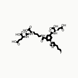 O=C(O)CCC(NC(=O)N[C@@H](CCCCNC(=O)c1cc(C(=O)N[C@@H](CCC(=O)O)C(=O)O)cc(-n2cc(CCCF)nn2)c1)C(=O)O)C(=O)O